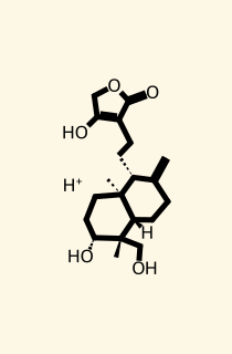 C=C1CC[C@@H]2[C@](C)(CO)[C@H](O)CC[C@@]2(C)[C@@H]1CCC1=C(O)COC1=O.[H+]